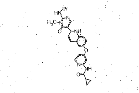 CC(C)Nc1ncc(C2C=Cc3cc(Oc4ccnc(NC(=O)C5CC5)c4)ccc3N2)c(=O)n1C